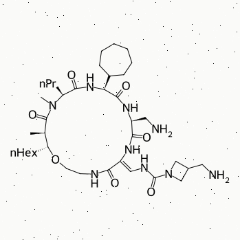 CCCCCC[C@H]1OCCNC(=O)/C(=C/NC(=O)N2CC(CN)C2)NC(=O)[C@H](CN)NC(=O)[C@H](C2CCCCCC2)NC(=O)[C@H](CCC)N(C)C(=O)[C@@H]1C